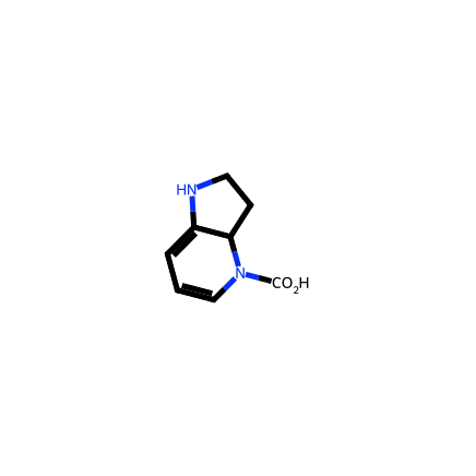 O=C(O)N1C=CC=C2NCCC21